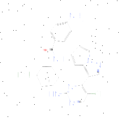 Cl.Nc1ccc(C(=O)N[C@H]2CCC[C@@H](Nc3ncc(Cl)c(-c4cnn5ccccc45)n3)C2)cc1